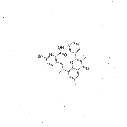 Cc1cc(C(C)Nc2ccc(Br)nc2C(=O)O)c2oc(-c3cccnc3)c(C)c(=O)c2c1